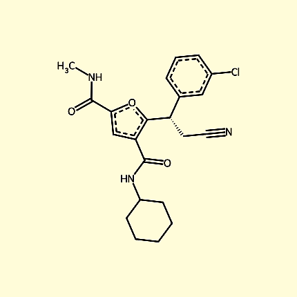 CNC(=O)c1cc(C(=O)NC2CCCCC2)c([C@@H](CC#N)c2cccc(Cl)c2)o1